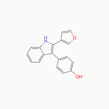 Oc1ccc(-c2c(-c3ccoc3)[nH]c3ccccc23)cc1